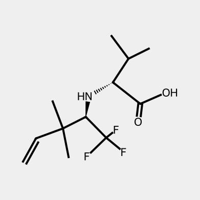 C=CC(C)(C)[C@@H](N[C@@H](C(=O)O)C(C)C)C(F)(F)F